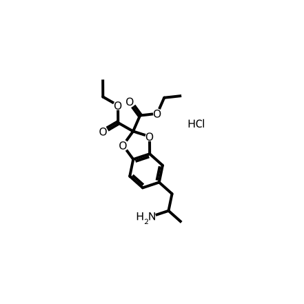 CCOC(=O)C1(C(=O)OCC)Oc2ccc(CC(C)N)cc2O1.Cl